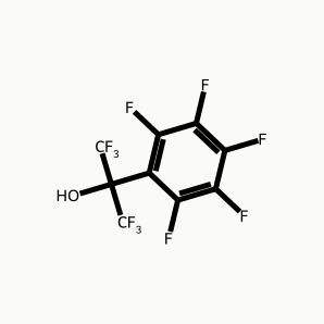 OC(c1c(F)c(F)c(F)c(F)c1F)(C(F)(F)F)C(F)(F)F